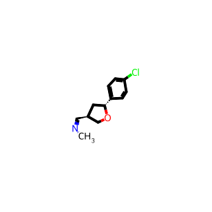 C/N=C\[C@@H]1CO[C@@H](c2ccc(Cl)cc2)C1